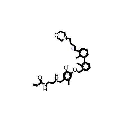 C=CC(=O)NCCNCc1cc(Cl)c(OCc2cccc(-c3cccc(/C=C/CCN4CCOCC4)c3C)c2C)cc1C